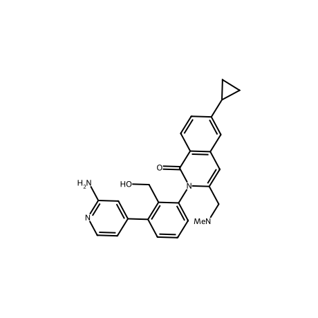 CNCc1cc2cc(C3CC3)ccc2c(=O)n1-c1cccc(-c2ccnc(N)c2)c1CO